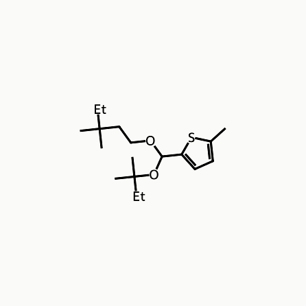 CCC(C)(C)CCOC(OC(C)(C)CC)c1ccc(C)s1